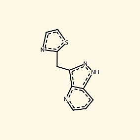 c1cnc2c(Cc3nccs3)n[nH]c2c1